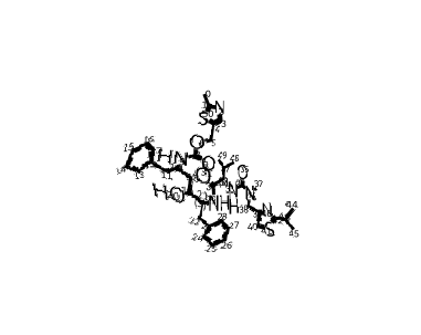 Cc1ncc(COC(=O)NC(Cc2ccccc2)CC(O)[C@H](Cc2ccccc2)NC(=O)[C@@H](NC(=O)N(C)Cc2csc(C(C)C)n2)C(C)C)s1